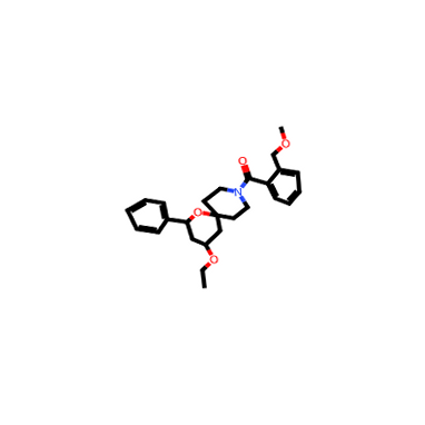 CCOC1CC(c2ccccc2)OC2(CCN(C(=O)c3ccccc3COC)CC2)C1